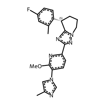 COc1nc(-c2nc3n(n2)CCC[C@H]3c2ccc(F)cc2C)ccc1-n1cnc(C)c1